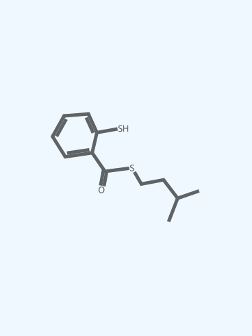 CC(C)CCSC(=O)c1ccccc1S